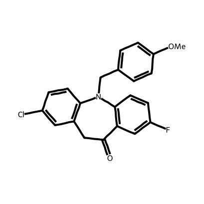 COc1ccc(CN2c3ccc(Cl)cc3CC(=O)c3cc(F)ccc32)cc1